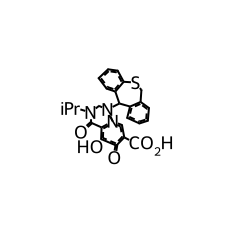 CC(C)N1CN(C2c3ccccc3CSc3ccccc32)n2cc(C(=O)O)c(=O)c(O)c2C1=O